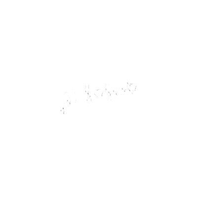 CC(CCNC(=O)c1ccc(NC(=O)N2CCN(c3ncccn3)CC2)cc1)CC(=O)NCC#N